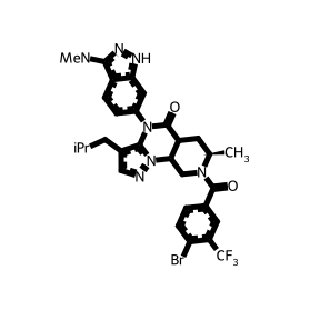 CNc1n[nH]c2cc(N3C(=O)C4C[C@@H](C)N(C(=O)c5ccc(Br)c(C(F)(F)F)c5)CC4n4ncc(CC(C)C)c43)ccc12